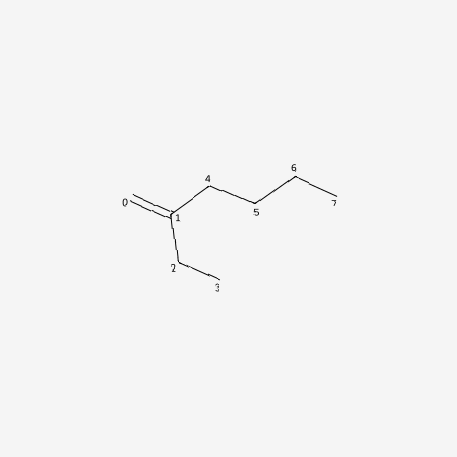 C=C(CC)CCCC